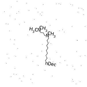 CCCCCCCCCCCCCCCCCCCCN(C)CCCN(C)C